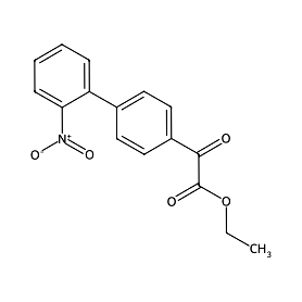 CCOC(=O)C(=O)c1ccc(-c2ccccc2[N+](=O)[O-])cc1